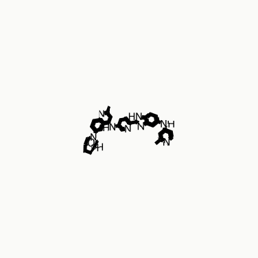 Cc1cc(Nc2ccc3[nH]c(-c4ccc(Nc5cc(C)nc6ccc(N7CC8CC[C@H](C7)O8)cc56)cn4)nc3c2)ccn1